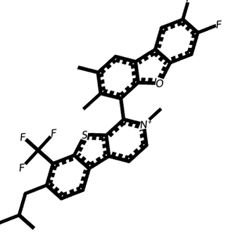 Cc1cc2c(oc3cc(F)c(F)cc32)c(-c2c3sc4c(C(F)(F)F)c(CC(C)C)ccc4c3cc[n+]2C)c1C